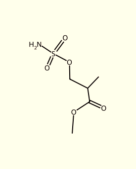 COC(=O)C(C)COS(N)(=O)=O